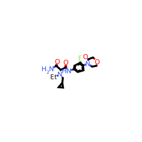 CCN(CC1CC1)[C@H](C(N)=O)C(=O)Nc1ccc(N2CCOCC2=O)c(F)c1